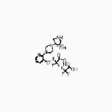 O=C(O)C(F)(F)F.O=C(O)C(F)(F)F.O[C@H]1CNC[C@@H]1N1CCN(c2ncccc2C(F)(F)F)CC1